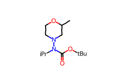 CC1CN(N(C(=O)OC(C)(C)C)C(C)C)CCO1